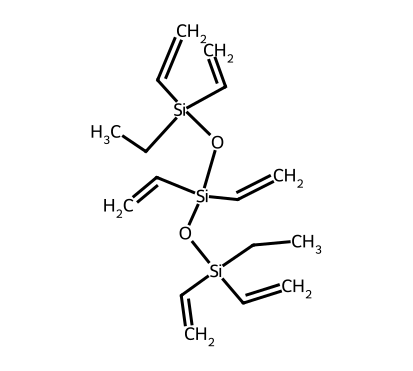 C=C[Si](C=C)(CC)O[Si](C=C)(C=C)O[Si](C=C)(C=C)CC